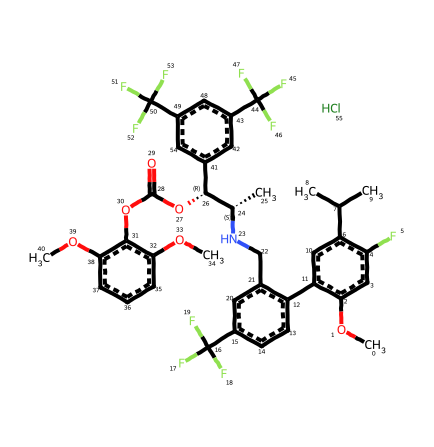 COc1cc(F)c(C(C)C)cc1-c1ccc(C(F)(F)F)cc1CN[C@@H](C)[C@H](OC(=O)Oc1c(OC)cccc1OC)c1cc(C(F)(F)F)cc(C(F)(F)F)c1.Cl